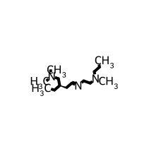 CCCN(C)CC/N=C/C[C@@H](CC)CN(C)C